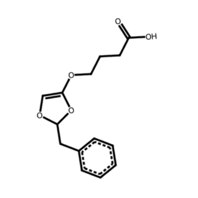 O=C(O)CCCOC1=COC(Cc2ccccc2)O1